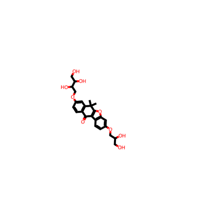 CC1(C)c2cc(OCC(O)C(O)CO)ccc2C(=O)c2c1oc1cc(OCC(O)CO)ccc21